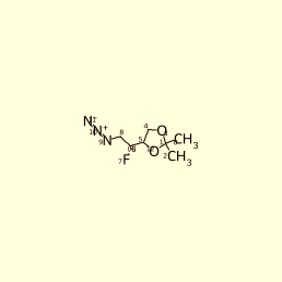 CC1(C)OCC([C@H](F)CN=[N+]=[N-])O1